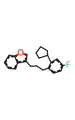 Fc1ccc(CCCc2coc3ccccc23)c(C2CCCC2)c1